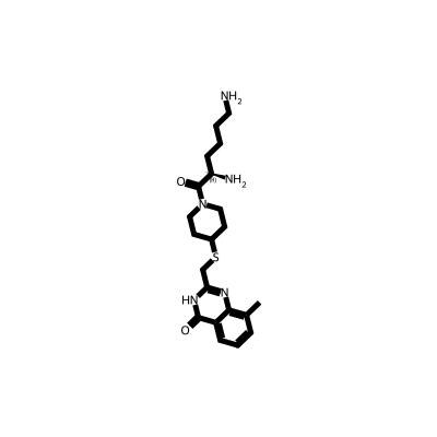 Cc1cccc2c(=O)[nH]c(CSC3CCN(C(=O)[C@H](N)CCCCN)CC3)nc12